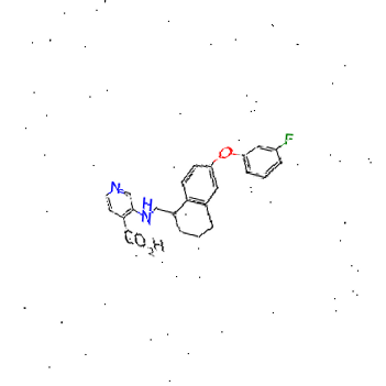 O=C(O)c1ccncc1NCC1CCCc2cc(Oc3cccc(F)c3)ccc21